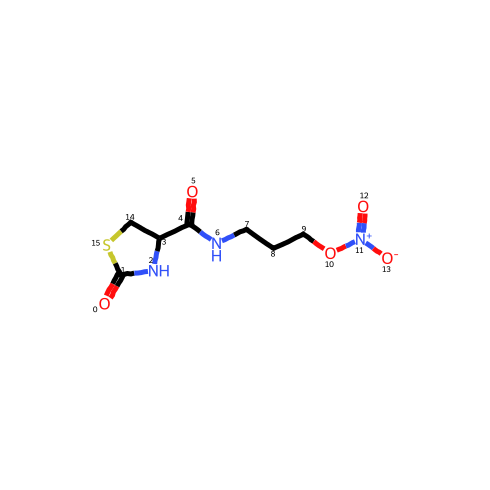 O=C1NC(C(=O)NCCCO[N+](=O)[O-])CS1